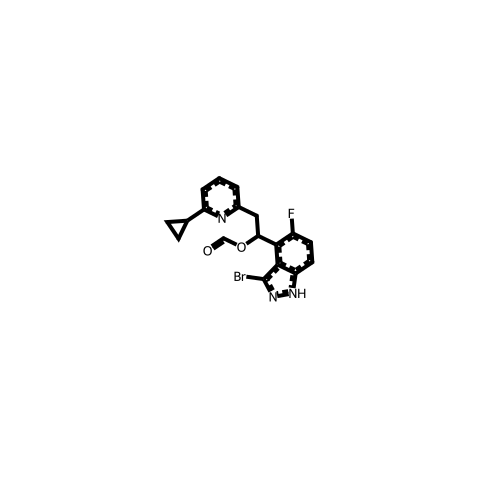 O=COC(Cc1cccc(C2CC2)n1)c1c(F)ccc2[nH]nc(Br)c12